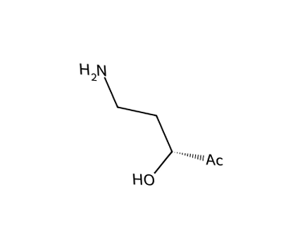 CC(=O)[C@H](O)CCN